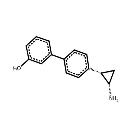 N[C@H]1C[C@H]1c1ccc(-c2cccc(O)c2)cc1